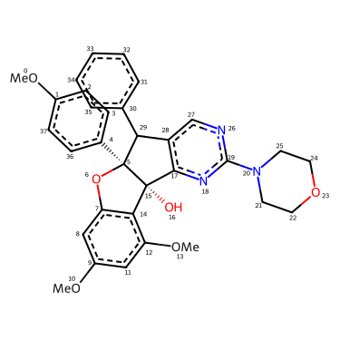 COc1ccc([C@@]23Oc4cc(OC)cc(OC)c4[C@]2(O)c2nc(N4CCOCC4)ncc2C3c2ccccc2)cc1